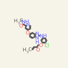 C/C=C/C(=O)COc1cc(Nc2nc3cc(Oc4ccnc(C(=O)NC)c4)ccc3[nH]2)ccc1Cl